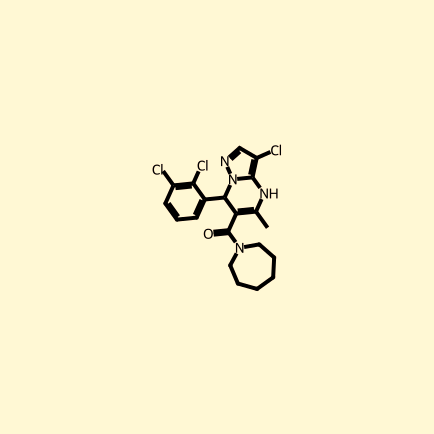 CC1=C(C(=O)N2CCCCCC2)C(c2cccc(Cl)c2Cl)n2ncc(Cl)c2N1